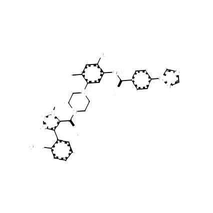 COc1ccccc1-c1nnn(C)c1C(=O)N1CCN(c2cc(NC(=O)c3ccc(-n4cncn4)cc3)c(Br)cc2Cl)CC1